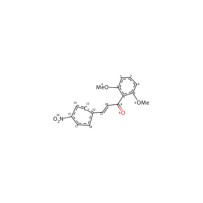 COc1cccc(OC)c1C(=O)/C=C/c1ccc([N+](=O)[O-])cc1